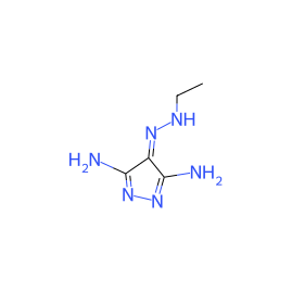 CCNN=C1C(N)=NN=C1N